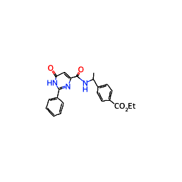 CCOC(=O)c1ccc(C(C)NC(=O)c2cc(=O)[nH]c(-c3ccccc3)n2)cc1